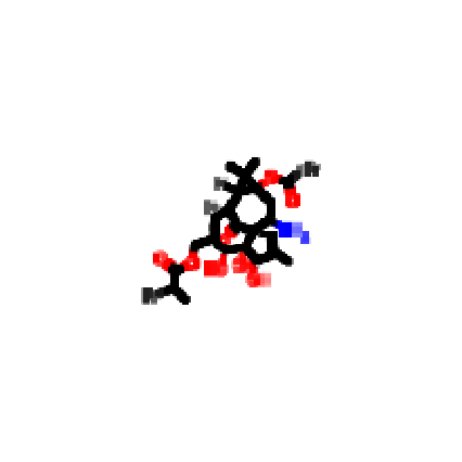 CCCC(=O)O[C@@]12C[C@@H](N)[C@]34C=C(C)[C@H](O)[C@@]3(O)[C@H](O)C(COC(=O)C(C)C(C)C)=C[C@H](C4=O)[C@@H]1C2(C)C